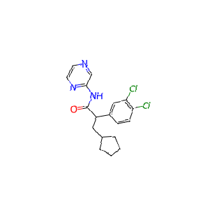 O=C(Nc1cnccn1)C(CC1CCCC1)c1ccc(Cl)c(Cl)c1